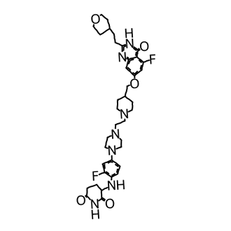 O=C1CCC(Nc2ccc(N3CCN(CCN4CCC(COc5cc(F)c6c(=O)[nH]c(CCC7CCOCC7)nc6c5)CC4)CC3)cc2F)C(=O)N1